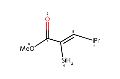 COC(=O)C([SiH3])=CC(C)C